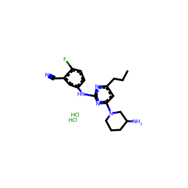 CCCc1cc(N2CCCC(N)C2)nc(Nc2ccc(F)c(C#N)c2)n1.Cl.Cl